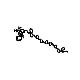 CCCC(=O)OCCOCCOCCOCCOCCOCCOC(=O)CCc1cc(-n2nc3ccccc3n2)c(O)c(C(C)(C)C)c1